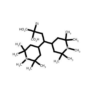 CCC(CC(C1CC(C)(C)N(C)C(C)(C)C1)C1CC(C)(C)N(C)C(C)(C)C1)(C(=O)O)C(=O)O